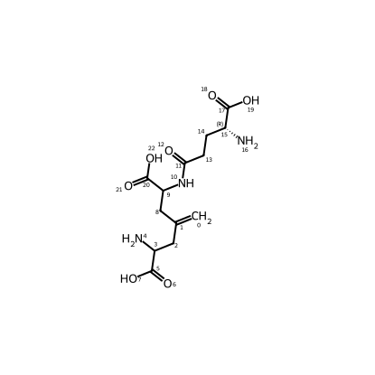 C=C(CC(N)C(=O)O)CC(NC(=O)CC[C@@H](N)C(=O)O)C(=O)O